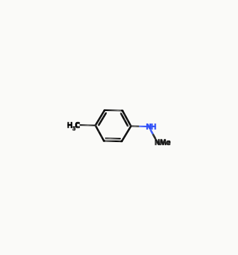 CNNc1ccc(C)cc1